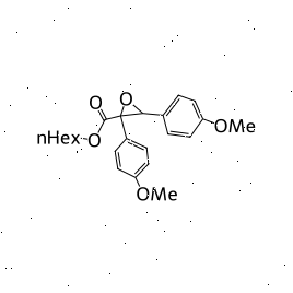 CCCCCCOC(=O)C1(c2ccc(OC)cc2)OC1c1ccc(OC)cc1